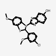 COc1ccc2c(c1)SC(c1ccc(Cl)cc1OC)N2c1nc2ccc(O)cc2s1